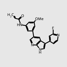 C=CC(=O)Nc1cc(OC)cc(-c2cnc3[nH]cc(-c4ccnc(F)c4)c3c2)c1